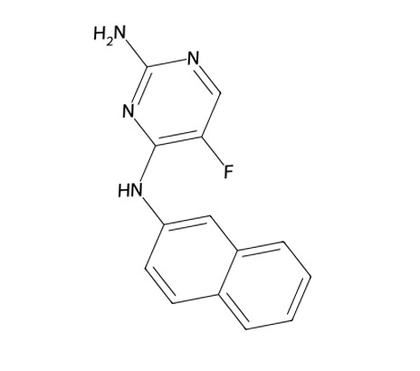 Nc1ncc(F)c(Nc2ccc3ccccc3c2)n1